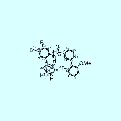 COc1cccc(F)c1-c1nccc(C(=O)Nc2cc(F)c(Br)cc2N2C[C@@H]3C[C@H]2CN3)n1